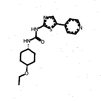 CCO[C@H]1CC[C@H](NC(=O)Nc2ncc(-c3ccncc3)s2)CC1